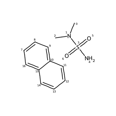 CN(C)S(N)(=O)=O.c1ccc2ccccc2c1